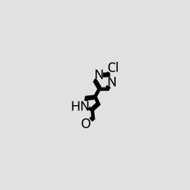 O=Cc1cc(-c2cnc(Cl)nc2)c[nH]1